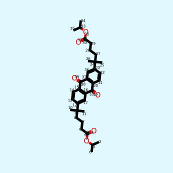 CC(C)OC(=O)CCCC(C)(C)c1ccc2c(c1)C(=O)c1ccc(C(C)(C)CCCC(=O)OC(C)C)cc1C2=O